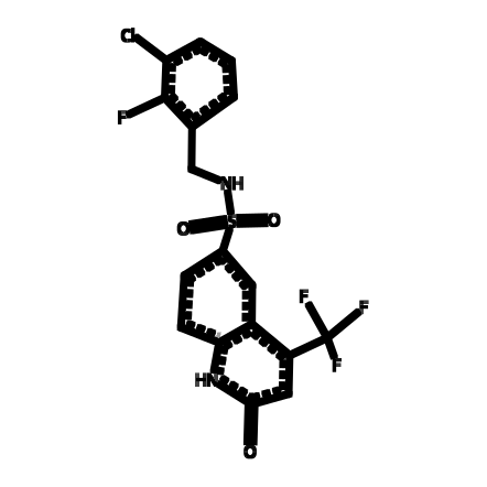 O=c1cc(C(F)(F)F)c2cc(S(=O)(=O)NCc3cccc(Cl)c3F)ccc2[nH]1